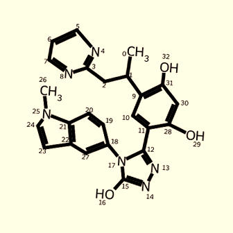 CC(Cc1ncccn1)c1cc(-c2nnc(O)n2-c2ccc3c(ccn3C)c2)c(O)cc1O